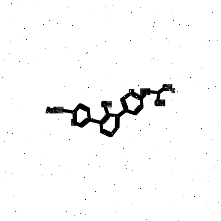 CC(=O)Nc1ccc(-c2cccc(-c3ccc(NC(C)O)nc3)c2O)cn1